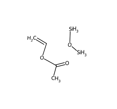 C=COC(C)=O.[SiH3]O[SiH3]